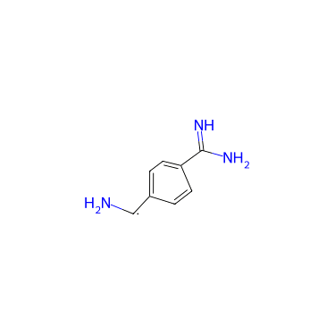 N=C(N)c1ccc([CH]N)cc1